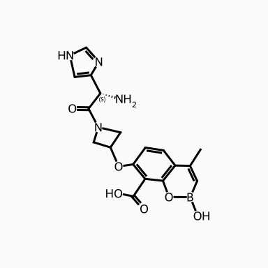 CC1=CB(O)Oc2c1ccc(OC1CN(C(=O)[C@@H](N)c3c[nH]cn3)C1)c2C(=O)O